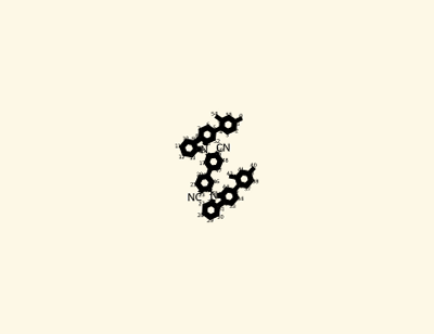 Cc1ccc(-c2ccc3c4ccccc4n(-c4cc(-c5ccc(C#N)c(-n6c7ccccc7c7ccc(-c8ccc(C)cc8C)cc76)c5)ccc4C#N)c3c2)c(C)c1